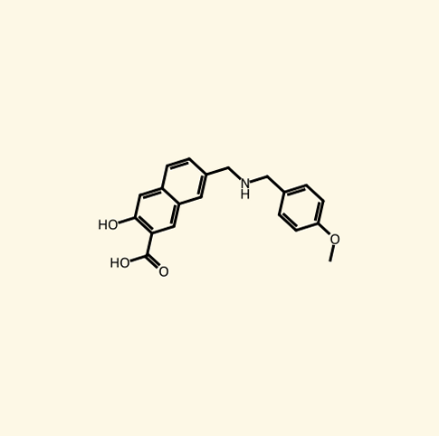 COc1ccc(CNCc2ccc3cc(O)c(C(=O)O)cc3c2)cc1